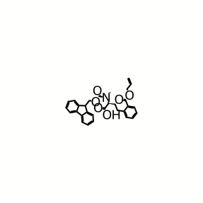 C=CCOC(=O)c1ccccc1CC[C@@H](C(=O)O)N(C)C(=O)OCC1c2ccccc2-c2ccccc21